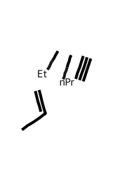 C#C.C=CC.CCC.CCCC